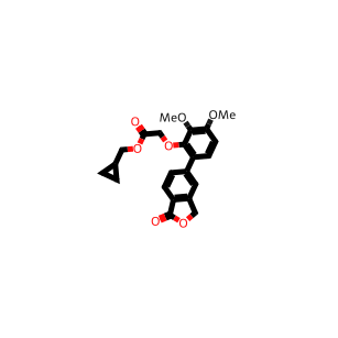 COc1ccc(-c2ccc3c(c2)COC3=O)c(OCC(=O)OCC2CC2)c1OC